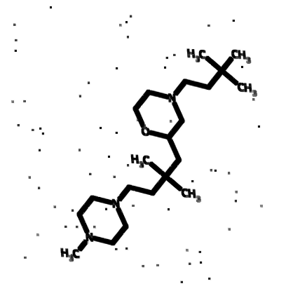 CN1CCN(CCC(C)(C)CC2CN(CCC(C)(C)C)CCO2)CC1